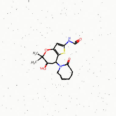 CC1(C)Oc2cc(NC=O)sc2C(N2CCCCC2=O)C1O